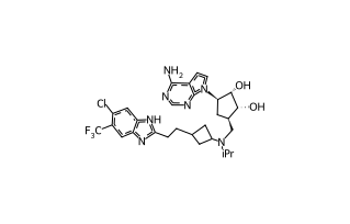 CC(C)N(C[C@H]1C[C@@H](n2ccc3c(N)ncnc32)[C@H](O)[C@@H]1O)C1CC(CCc2nc3cc(C(F)(F)F)c(Cl)cc3[nH]2)C1